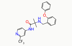 CC(C)(NCc1ccccc1Oc1ccccc1)C(=O)Nc1ccnc(C(F)(F)F)c1